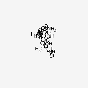 CN(C)[C@@H]1C(O)=C(C(N)=O)C(=O)C2C(O)=C3C(=O)c4c(ccc(C(C)(C)CCCNc5ccccc5)c4O)C[C@H]3[C@H](O)[C@H]21